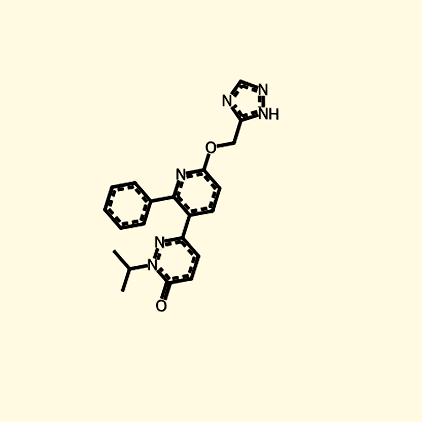 CC(C)n1nc(-c2ccc(OCc3ncn[nH]3)nc2-c2ccccc2)ccc1=O